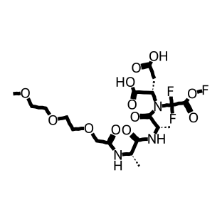 COCCOCCOCC(=O)N[C@@H](C)C(=O)N[C@@H](C)C(=O)N([C@@H](CC(=O)O)C(=O)O)C(F)(F)C(=O)OF